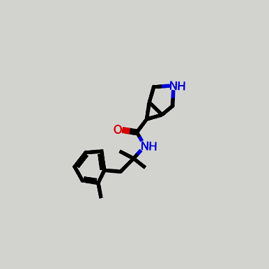 Cc1ccccc1CC(C)(C)NC(=O)C1C2CNCC21